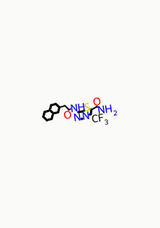 NC(=O)c1sc2c(NC(=O)Cc3ccc4ccccc4c3)ncn2c1C(F)(F)F